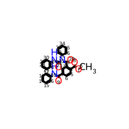 COC(=O)c1ccc(C(=O)Nc2ccccc2)cc1C(=O)N(C(=O)Nc1ccccc1)c1ccccc1